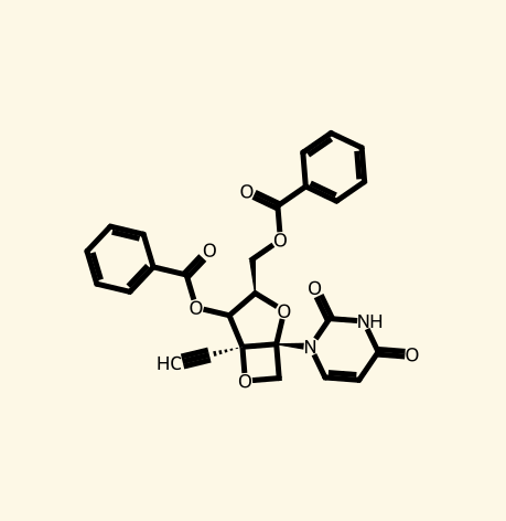 C#C[C@@]12OC[C@@]1(n1ccc(=O)[nH]c1=O)O[C@H](COC(=O)c1ccccc1)C2OC(=O)c1ccccc1